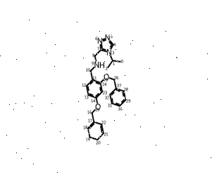 CC(C)n1cnnc1CNCc1ccc(OCC2=CCCC=C2)cc1OCc1ccccc1